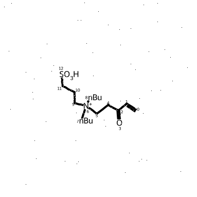 C=CC(=O)CC[N+](CCCC)(CCCC)CCCS(=O)(=O)O